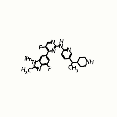 Cc1nc2c(F)cc(-c3nc(Nc4ccc(C(C)C5CCNCC5)cn4)ncc3F)cc2n1C(C)C